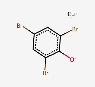 [Cu+].[O-]c1c(Br)cc(Br)cc1Br